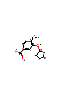 CCC(=O)c1ccc(OC)c(OC2CCCC2)c1